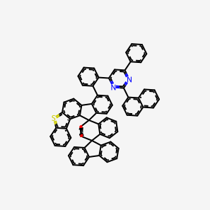 c1ccc(-c2cc(-c3ccccc3-c3cccc4c3-c3ccc5sc6ccccc6c5c3C43c4ccccc4C4(c5ccccc5-c5ccccc54)c4ccccc43)nc(-c3cccc4ccccc34)n2)cc1